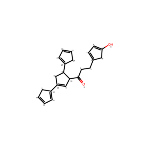 O=C(CCC1=CC=C(O)C1)C1C=C(C2=CC=CC2)CC1C1=CC=CC1